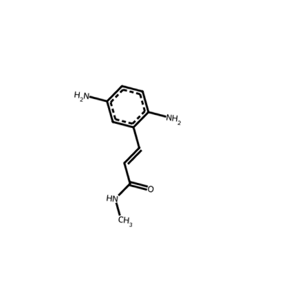 CNC(=O)C=Cc1cc(N)ccc1N